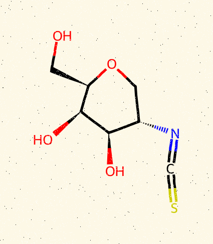 OC[C@H]1OC[C@H](N=C=S)[C@@H](O)[C@H]1O